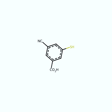 N#Cc1cc(S)cc(C(=O)O)c1